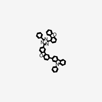 c1ccc(-c2nc(-c3ccc4oc5ccc(-c6ccc7c8ccccc8n(-c8ccccc8)c7c6)cc5c4c3)nc(-c3cccc4oc5ccccc5c34)n2)cc1